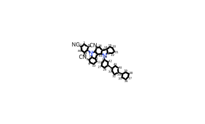 N#Cc1cc(C#N)c(-n2c3ccccc3c3c2ccc2c4ccccc4n(-c4cccc(-c5ccc(-c6ccccc6)cc5)c4)c23)c(C#N)c1